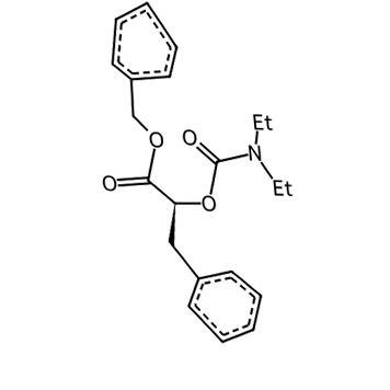 CCN(CC)C(=O)O[C@@H](Cc1ccccc1)C(=O)OCc1ccccc1